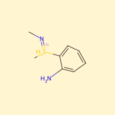 C/N=[SH2](\C)c1ccccc1N